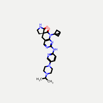 CC(C)N1CCN(c2ccc(Nc3ncc4c(n3)N(C35CC(C3)C5)C(=O)[C@]3(CCNC3=O)C4)nc2)CC1